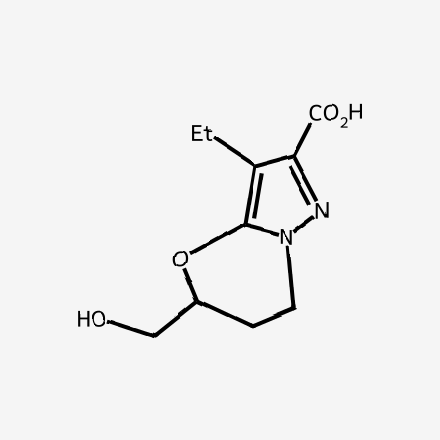 CCc1c(C(=O)O)nn2c1OC(CO)CC2